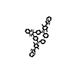 Cc1cc(N(c2ccccc2)c2ccc(-c3nc4ccccc4nc3-c3ccc(N(c4ccccc4)c4cc(C)c(-c5cn6ccccc6n5)cc4C)cc3)cc2)c(C)cc1-c1cn2ccccc2n1